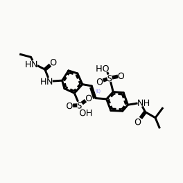 CCNC(=O)Nc1ccc(/C=C/c2ccc(NC(=O)C(C)C)cc2S(=O)(=O)O)c(S(=O)(=O)O)c1